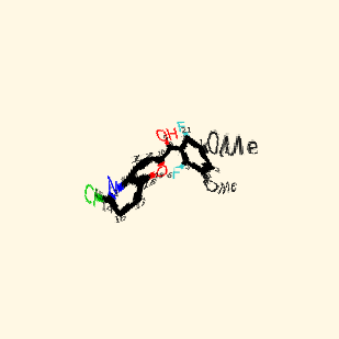 COc1cc(OC)c(F)c(C(O)c2cc3nc(Cl)ccc3o2)c1F